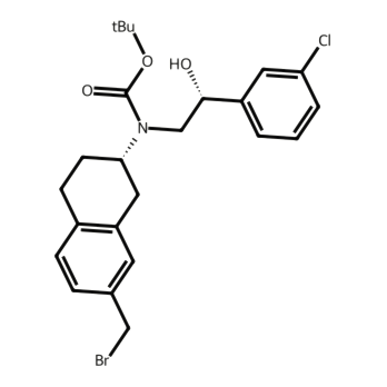 CC(C)(C)OC(=O)N(C[C@H](O)c1cccc(Cl)c1)[C@H]1CCc2ccc(CBr)cc2C1